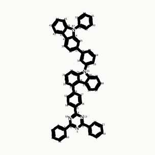 c1ccc(-c2nc(-c3ccccc3)nc(-c3ccc(-c4cccc5c4c4ccccc4n5-c4cccc(-c5ccc6c7ccccc7n(-c7ccccc7)c6c5)c4)cc3)n2)cc1